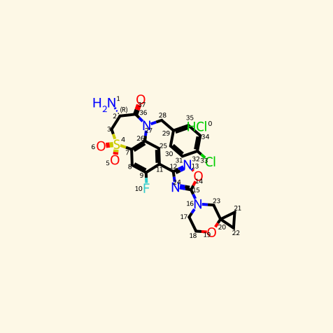 Cl.N[C@H]1CS(=O)(=O)c2cc(F)c(-c3noc(N4CCOC5(CC5)C4)n3)cc2N(Cc2ccc(Cl)cc2)C1=O